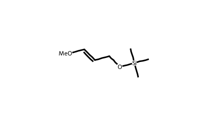 COC=CCO[Si](C)(C)C